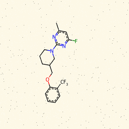 Cc1cc(F)nc(N2CCCC(COc3ccccc3C(F)(F)F)C2)n1